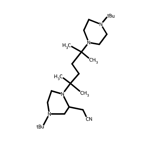 CC(C)(C)N1CCN(C(C)(C)CCC(C)(C)N2CCN(C(C)(C)C)CC2CC#N)CC1